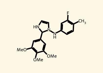 COc1cc(C2NC=CN2Nc2ccc(C)c(F)c2)cc(OC)c1OC